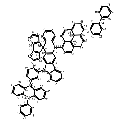 C1=Cc2c(N3c4ccccc4C4(c5cc6c(cc53)c3ccccc3n6-c3cccc(N5c6ccccc6N(c6ccccc6)c6ccccc65)c3)c3ccoc3-c3occc34)ccc3c2C2C1=CC=C(c1cccc(-c4ccccc4)c1)C2=CC3